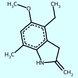 C=C1Cc2c(CC)c(OC)cc(C)c2N1